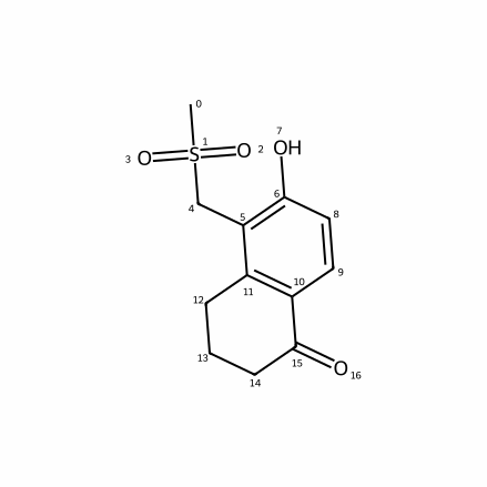 CS(=O)(=O)Cc1c(O)ccc2c1CCCC2=O